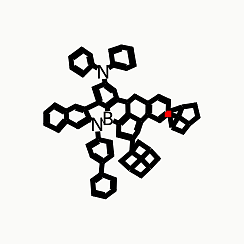 c1ccc(-c2ccc(N3B4c5cc(C67CC8CC9CC(C6)C987)cc6c5C(Cc5ccc(C78C9CCC7CC8C9)cc5-6)c5cc(N(c6ccccc6)c6ccccc6)cc(c54)-c4cc5ccccc5cc43)cc2)cc1